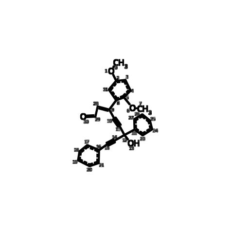 COc1ccc(OC)c(/C(C#CC(O)(C#Cc2ccccc2)c2ccccc2)=C/C=O)c1